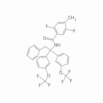 Cc1cc(F)c(C(=O)NC(Cc2ccccc2)(c2cccc(OC(F)(F)F)c2)c2cccc(OC(F)(F)F)c2)cc1F